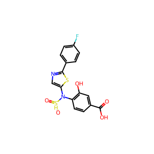 O=C(O)c1ccc(N(c2cnc(-c3ccc(F)cc3)s2)[SH](=O)=O)c(O)c1